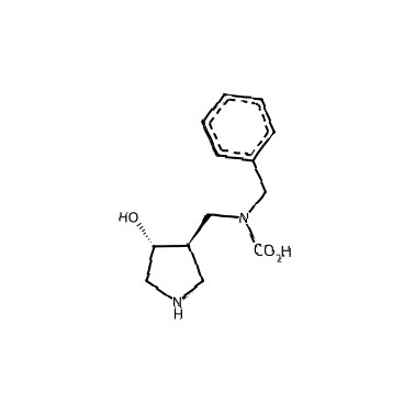 O=C(O)N(Cc1ccccc1)C[C@H]1CNC[C@@H]1O